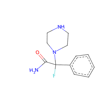 NC(=O)C(F)(c1ccccc1)N1CCNCC1